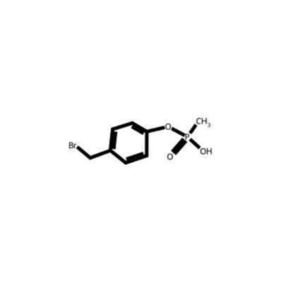 CP(=O)(O)Oc1ccc(CBr)cc1